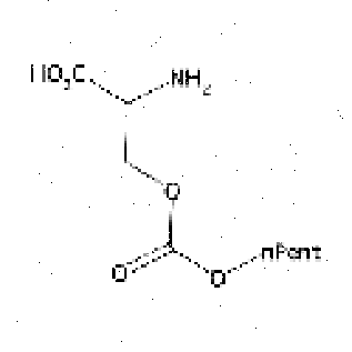 CCCCCOC(=O)OCC(N)C(=O)O